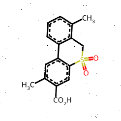 Cc1cc2c(cc1C(=O)O)S(=O)(=O)Cc1c(C)cccc1-2